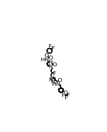 O=C(Nc1ccn(CCC(F)Cn2cc(C(=O)NCc3cccc(OC(F)(F)F)c3)nn2)c(=O)n1)OC1CCC(F)(F)CC1